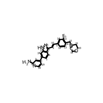 Nc1cc(-c2ccc3c(C=Cc4ccc(CN5CCOCC5)c(F)c4)n[nH]c3c2)ccn1